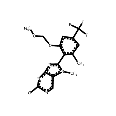 COCOc1cc(C(F)(F)F)cc(C)c1-c1nc2nc(Cl)ncc2n1C